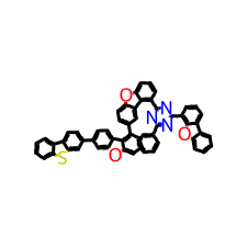 c1ccc(-c2nc(-c3cccc4c3oc3ccccc34)nc(-c3cccc4oc5ccc(-c6cccc7oc8cc(-c9ccc%10c(c9)sc9ccccc9%10)ccc8c67)cc5c34)n2)cc1